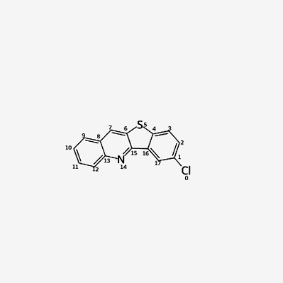 Clc1ccc2sc3cc4ccccc4nc3c2c1